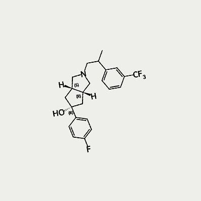 CC(CN1C[C@@H]2C[C@@](O)(c3ccc(F)cc3)C[C@@H]2C1)c1cccc(C(F)(F)F)c1